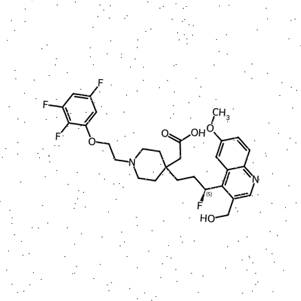 COc1ccc2ncc(CO)c([C@@H](F)CCC3(CC(=O)O)CCN(CCOc4cc(F)cc(F)c4F)CC3)c2c1